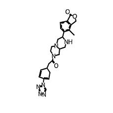 Cc1c(C2CN3CCN(C(=O)CC4C=CC(n5cnnn5)=CC4)CC3CN2)ccc2c1COC2=O